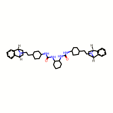 O=C(NC1CCC(CCN2[C@@H]3CC[C@H]2c2ccccc23)CC1)NC1CCCCC1NC(=O)NC1CCC(CCN2[C@@H]3CC[C@H]2c2ccccc23)CC1